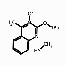 CS.Cc1c2ccccc2nc(OC(C)(C)C)[n+]1[O-]